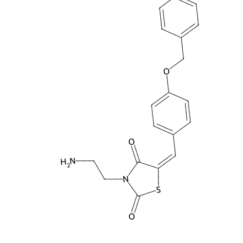 NCCN1C(=O)SC(=Cc2ccc(OCc3ccccc3)cc2)C1=O